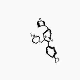 Clc1ccc(-c2nc3ccc(-c4ccsc4)cn3c2CN2CCCNCC2)cc1